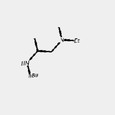 CCCCNC(C)CN(C)CC